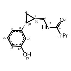 CCCC(=O)NC[C@@H]1C[C@H]1c1cccc(O)c1